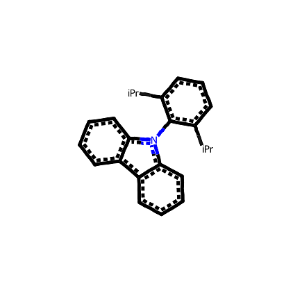 CC(C)c1cccc(C(C)C)c1-n1c2ccccc2c2ccccc21